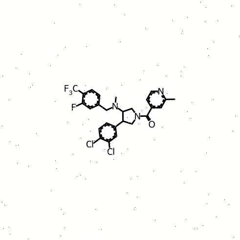 Cc1cc(C(=O)N2CC(c3ccc(Cl)c(Cl)c3)C(N(C)Cc3ccc(C(F)(F)F)c(F)c3)C2)ccn1